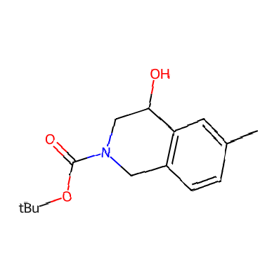 Cc1ccc2c(c1)C(O)CN(C(=O)OC(C)(C)C)C2